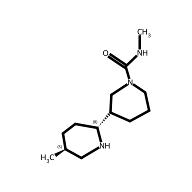 CNC(=O)N1CCCC([C@H]2CC[C@H](C)CN2)C1